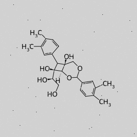 Cc1ccc(C2OC[C@@]3(O)C(c4ccc(C)c(C)c4)[C@@](O)([C@H](O)CO)[C@@H]3O2)cc1C